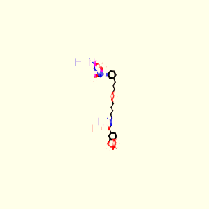 CC1(C)OCc2cc([C@H](O)CNCCCCCCOCCCCc3cccc(N4CC(=O)N(CC(N)=O)C4=O)c3)ccc2O1